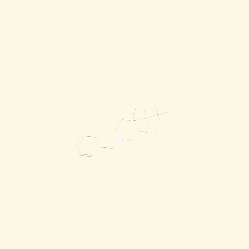 CC1CN(Cc2ccccc2)CCC1(O)[Si](C)(C)C(C)(C)C